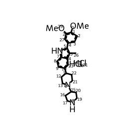 COc1ccc(-c2[nH]c3ccc(C4CCN(C5CCNCC5)CC4)cc3c2C)cc1OC.Cl.Cl